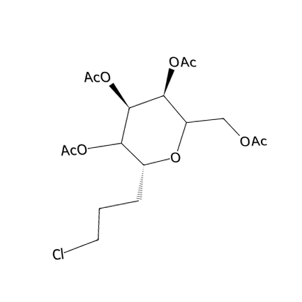 CC(=O)OCC1O[C@H](CCCCl)C(OC(C)=O)[C@@H](OC(C)=O)[C@H]1OC(C)=O